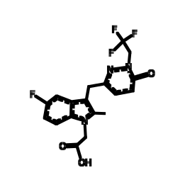 Cc1c(Cc2ccc(=O)n(CC(F)(F)F)n2)c2cc(F)ccc2n1CC(=O)O